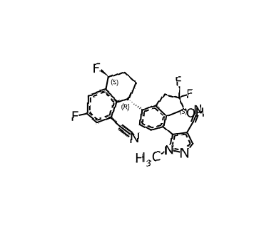 Cn1ncc(C#N)c1-c1ccc([C@H]2CC[C@H](F)c3cc(F)cc(C#N)c32)c2c1[C@H](O)C(F)(F)C2